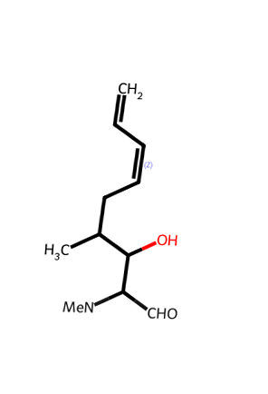 C=C/C=C\CC(C)C(O)C(C=O)NC